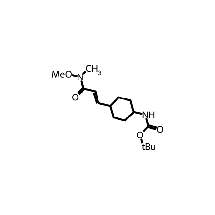 CON(C)C(=O)C=CC1CCC(NC(=O)OC(C)(C)C)CC1